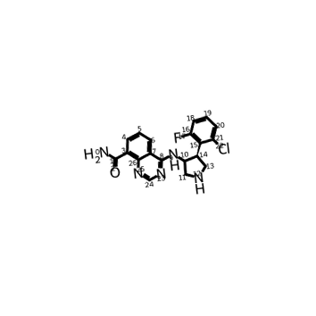 NC(=O)c1cccc2c(NC3CNC[C@@H]3c3c(F)cccc3Cl)ncnc12